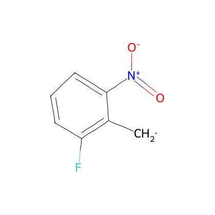 [CH2]c1c(F)cccc1[N+](=O)[O-]